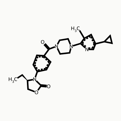 CC[C@@H]1COC(=O)N1c1ccc(C(=O)N2CCN(c3ncc(C4CC4)cc3C)CC2)cc1